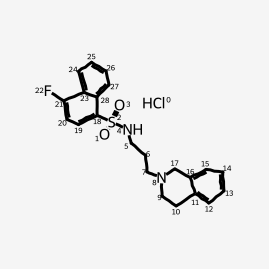 Cl.O=S(=O)(NCCCN1CCc2ccccc2C1)c1ccc(F)c2ccccc12